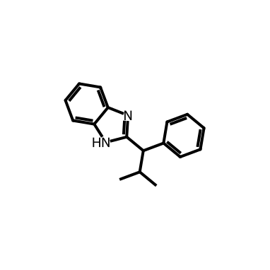 CC(C)C(c1ccccc1)c1nc2ccccc2[nH]1